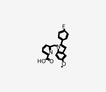 COc1ccc2c(c1)cc(-c1ccc(F)cc1)n2Cc1cccc(C(=O)O)n1